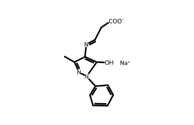 Cc1nn(-c2ccccc2)c(O)c1N=CCC(=O)[O-].[Na+]